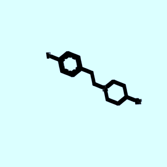 Fc1ccc(CCN2CCC(Br)CC2)cc1